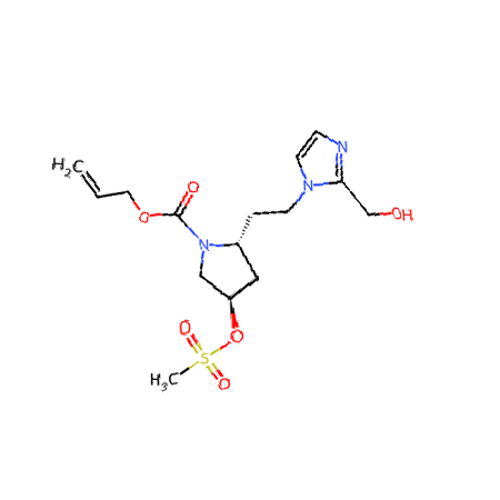 C=CCOC(=O)N1C[C@H](OS(C)(=O)=O)C[C@H]1CCn1ccnc1CO